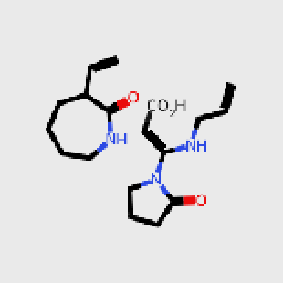 C=CC1CCCCNC1=O.C=CCNC(=CC(=O)O)N1CCCC1=O